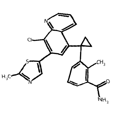 Cc1ncc(-c2cc(C3(c4cccc(C(N)=O)c4C)CC3)c3cccnc3c2Cl)s1